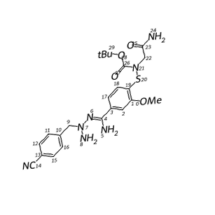 COc1cc(/C(N)=N/N(N)Cc2ccc(C#N)cc2)ccc1SN(CC(N)=O)C(=O)OC(C)(C)C